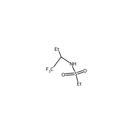 CCC(NS(=O)(=O)CC)C(F)(F)F